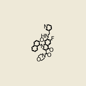 O=C(c1cn2c3c(c(NCc4cccnc4)c(F)cc3c1=O)Oc1ccc3ccccc3c1-2)N1CCOCC1